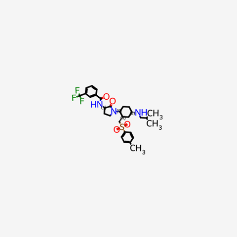 Cc1ccc(S(=O)(=O)C[C@@H]2C[C@@H](NCC(C)C)CC[C@@H]2N2CC[C@H](NC(=O)c3cccc(C(F)(F)F)c3)C2=O)cc1